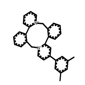 Cc1cc(C)cc(-c2cc[n+]3c(c2)-c2ccccc2C[n+]2ccccc2-c2ccccc2C3)c1